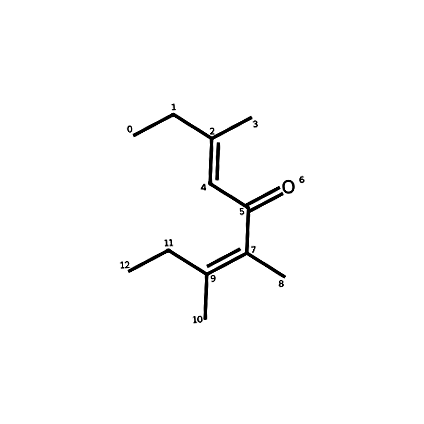 CCC(C)=CC(=O)C(C)=C(C)CC